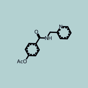 CC(=O)Oc1ccc(C(=O)NCc2ccccn2)cc1